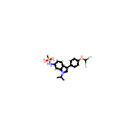 CC(C)n1cc(-c2ccc(OC(F)F)cc2)c2ccc(NS(C)(=O)=O)cc21